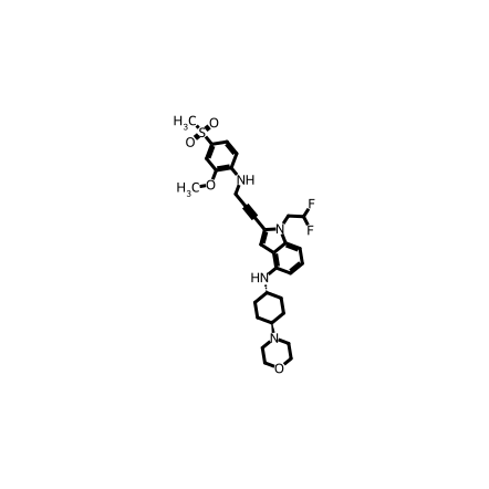 COc1cc(S(C)(=O)=O)ccc1NCC#Cc1cc2c(N[C@H]3CC[C@H](N4CCOCC4)CC3)cccc2n1CC(F)F